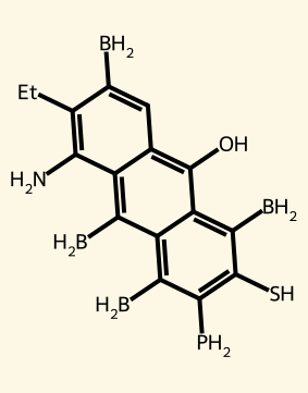 Bc1cc2c(O)c3c(B)c(S)c(P)c(B)c3c(B)c2c(N)c1CC